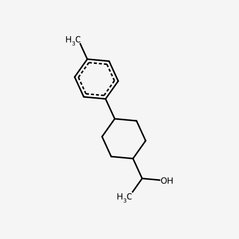 Cc1ccc(C2CCC(C(C)O)CC2)cc1